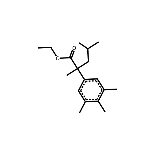 CCOC(=O)C(C)(CC(C)C)c1cc(C)c(C)c(C)c1